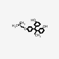 CC/C(=C(\c1ccc(OCCN(C)C)cc1)c1cccc(O)c1)c1cccc(O)c1